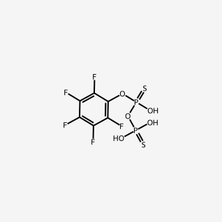 OP(O)(=S)OP(O)(=S)Oc1c(F)c(F)c(F)c(F)c1F